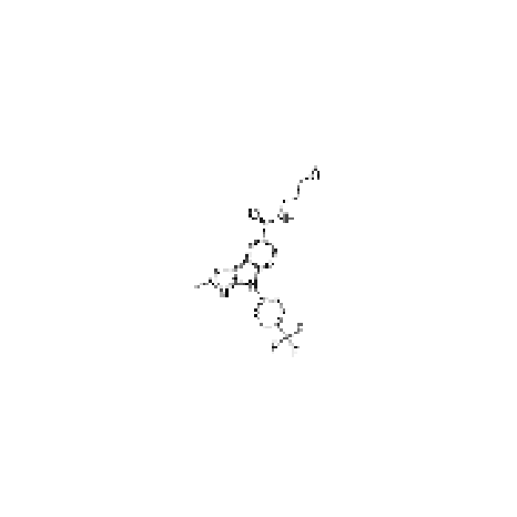 COCCCNC(=O)c1ccc2c(c1)c1cn(C)nc1n2-c1ccc(C(F)(F)F)cc1